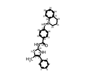 CC1=C(c2ccccc2)NC(NC(=O)c2ccc(SN3CCCc4ccccc43)cc2)S1